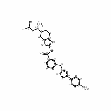 CN(CC(F)F)C1CCc2nc(NC(=O)c3cccc(Cn4cc(-c5ccc(N)cc5)cn4)c3)sc2C1